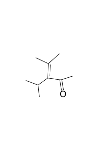 CC(=O)C(=C(C)C)C(C)C